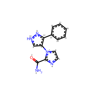 NC(=O)c1nccn1-c1c[nH]nc1-c1ccccc1